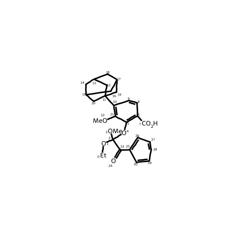 CCOC(OC)(Oc1c(C(=O)O)ccc(C23CC4CC(CC(C4)C2)C3)c1OC)C(=O)c1ccccc1